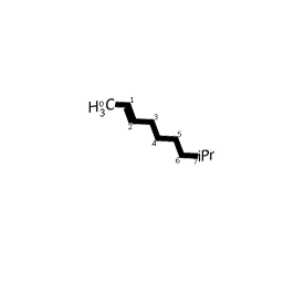 C/C=C/CCCCC(C)C